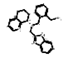 NCc1ccccc1CN(Cc1nc2ccccc2[nH]1)[C@H]1CCCc2cccnc21